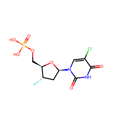 O=c1[nH]c(=O)n([C@H]2C[C@H](F)[C@@H](COP(=O)(O)O)O2)cc1Cl